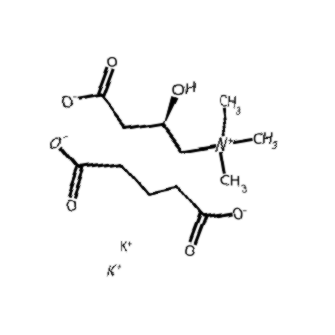 C[N+](C)(C)C[C@H](O)CC(=O)[O-].O=C([O-])CCCC(=O)[O-].[K+].[K+]